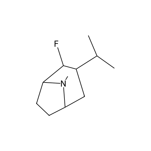 CC(C)C1CC2CCC(C1F)N2C